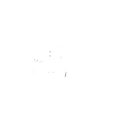 COc1ccccc1-c1ccsc1C(=O)O